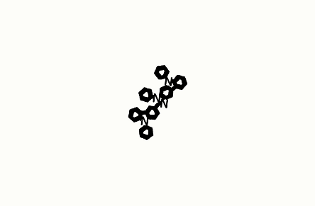 c1ccc(-n2c(-c3ccc4c(c3)c3ccccc3n4-c3ccccc3)nc3cc4c5ccccc5n(-c5ccccc5)c4cc32)cc1